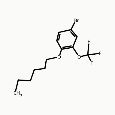 CCCCCCOc1ccc(Br)cc1OC(F)(F)F